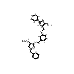 CCOC(=O)c1cn(Cc2ccccc2)nc1OCc1cccc(OCc2nc(-c3ccccc3)oc2C)c1